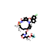 CC1C/C=C/C(OCCN2CCOCC2[C@H](C)COC(=O)C(F)(F)F)[C@@H]2CC[C@H]2CN2C[C@@]3(CCCc4cc(Cl)ccc43)COc3ccc(cc32)C(=O)NS(=O)(=O)C1C